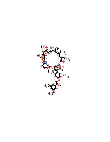 CCC1/C=C(\C)CC(C)CC(OC)C2OC(O)(C(=O)C(=O)N3CCCCC3C(=O)OC(C(C)=CC3CCC(OCC(=O)c4cc(C)cc(OC)c4)C(OC)C3)C(C)C(O)CC1=O)C(C)CC2OC